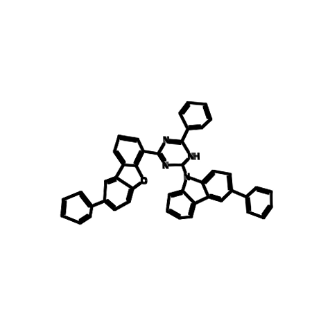 c1ccc(C2=NC(c3cccc4c3oc3ccc(-c5ccccc5)cc34)=NC(n3c4ccccc4c4cc(-c5ccccc5)ccc43)N2)cc1